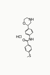 CSc1ccc(C(=O)Nc2ccc(C3CNCCO3)cc2)cc1.Cl